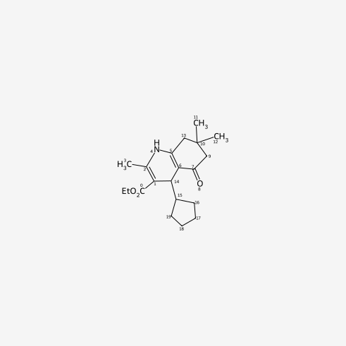 CCOC(=O)C1=C(C)NC2=C(C(=O)CC(C)(C)C2)C1C1CCCC1